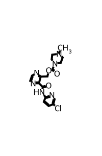 CN1CCN(C(=O)OCc2nccnc2C(=O)Nc2ccc(Cl)cn2)CC1